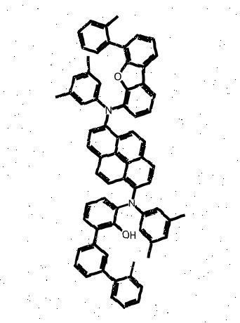 Cc1cc(C)cc(N(c2cccc(-c3cccc(-c4ccccc4C)c3)c2O)c2ccc3ccc4c(N(c5cc(C)cc(C)c5)c5cccc6c5oc5c(-c7ccccc7C)cccc56)ccc5ccc2c3c54)c1